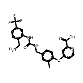 Cc1cc(CNC(=O)Nc2cc(C(F)(F)F)ccc2CN)ccc1Oc1ccnc(C(=O)O)c1